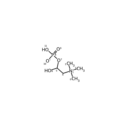 C[N+](C)(C)CC(O)OP(=O)([O-])O